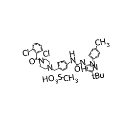 CS(=O)(=O)O.Cc1ccc(-n2nc(C(C)(C)C)cc2NC(=O)Nc2ccc(CN3CCN(C(=O)c4c(Cl)cccc4Cl)CC3)cc2)cc1